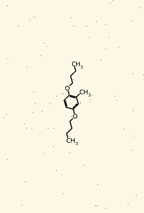 CCCCOc1ccc(OCCCC)c(C)c1